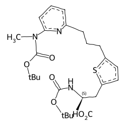 CN(C(=O)OC(C)(C)C)c1cccc(CCCc2ccc(C[C@H](NC(=O)OC(C)(C)C)C(=O)O)s2)n1